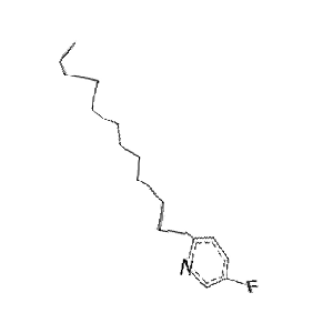 CCCCCCCCCCc1ccc(F)cn1